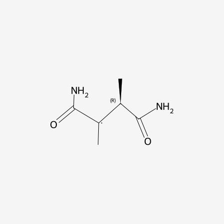 C[C](C(N)=O)[C@@H](C)C(N)=O